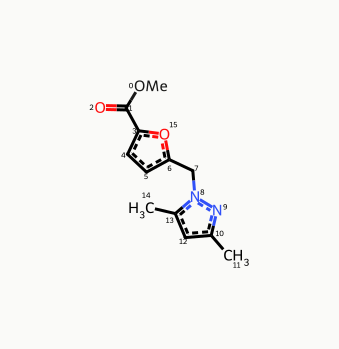 COC(=O)c1ccc(Cn2nc(C)cc2C)o1